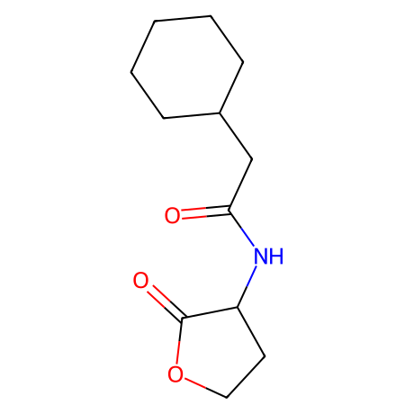 O=C(CC1CCCCC1)NC1CCOC1=O